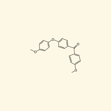 COc1ccc(Oc2ccc(C(=O)c3ccc(OC)cc3)cc2)cc1